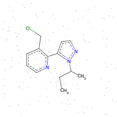 CCC(C)n1nccc1-c1ncccc1CCl